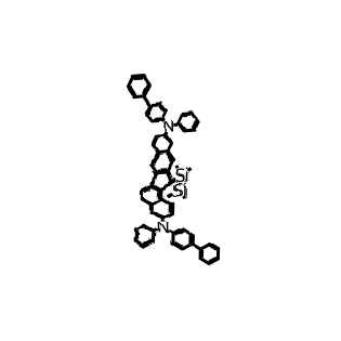 C[Si](C)(C)C1([Si](C)(C)C)c2cc3cc(N(c4ccccc4)c4ccc(-c5ccccc5)cc4)ccc3cc2-c2ccc3cc(N(c4ccccc4)c4ccc(-c5ccccc5)cc4)ccc3c21